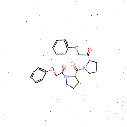 O=C(COc1ccccc1)[C@@H]1CCCN1C(=O)[C@@H]1CCCN1C(=O)COc1ccccc1